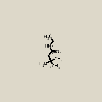 BC(C)(C)CC(=O)NCC